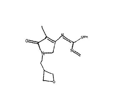 C=N/C(=N\C1=C(C)C(=O)N(CC2COC2)C1)SC